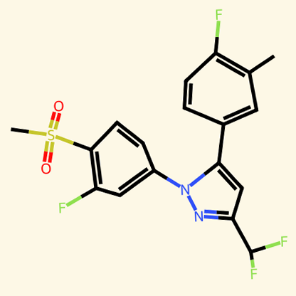 Cc1cc(-c2cc(C(F)F)nn2-c2ccc(S(C)(=O)=O)c(F)c2)ccc1F